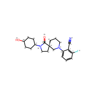 N#Cc1c(F)cccc1N1CCC[C@]2(CCN(C3CCC(O)CC3)C2=O)C1